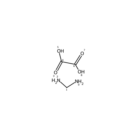 NCN.O=C(O)C(=O)O